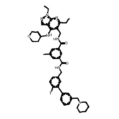 CCc1nc2c(cnn2CC)c(NC2CCOCC2)c1CNC(=O)c1cc(C)cc(C(=O)NCc2ccc(F)c(-c3cccc(CN4CCCCC4)c3)c2)c1